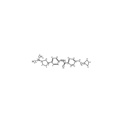 CN(C)C1CCN(c2ccc(NC(=O)c3ccc(COC4CCC4)cc3)cc2)C1